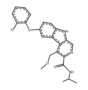 COCc1c(C(=O)NC(C)C)ncc2[nH]c3ccc(Oc4ccccc4Cl)cc3c12